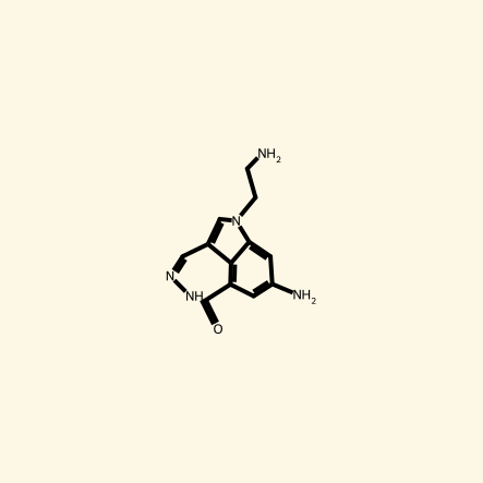 NCCn1cc2c3c(cc(N)cc31)C(=O)NN=C2